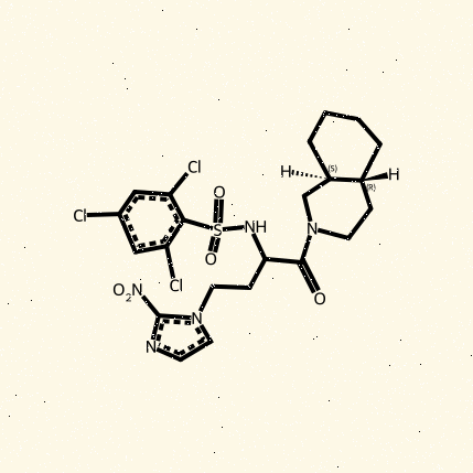 O=C(C(CCn1ccnc1[N+](=O)[O-])NS(=O)(=O)c1c(Cl)cc(Cl)cc1Cl)N1CC[C@H]2CCCC[C@@H]2C1